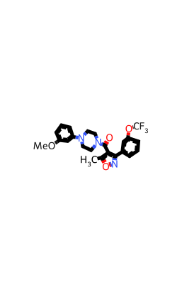 COc1cccc(N2CCN(C(=O)c3c(-c4cccc(OC(F)(F)F)c4)noc3C)CC2)c1